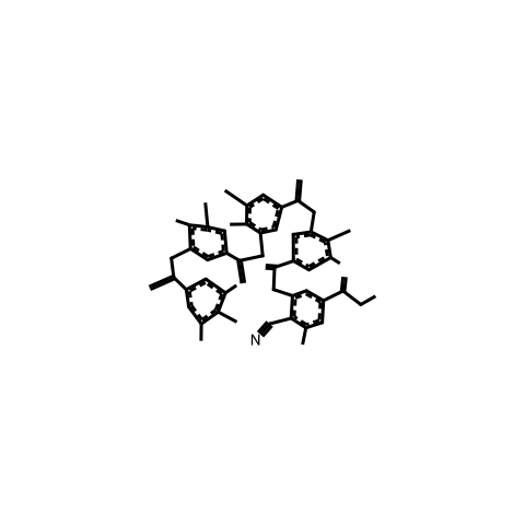 C=C(CC)c1cc(C)c(C#N)c(CC(=C)c2cc(C)c(C)c(CC(=C)c3cc(C)c(C)c(CC(=C)c4cc(C)c(C)c(CC(=C)c5cc(C)c(C)c(C)c5)c4)c3)c2)c1